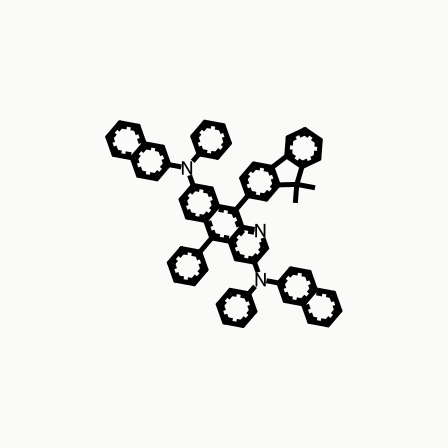 CC1(C)c2ccccc2-c2ccc(-c3c4cc(N(c5ccccc5)c5ccc6ccccc6c5)ccc4c(-c4ccccc4)c4cc(N(c5ccccc5)c5ccc6ccccc6c5)cnc34)cc21